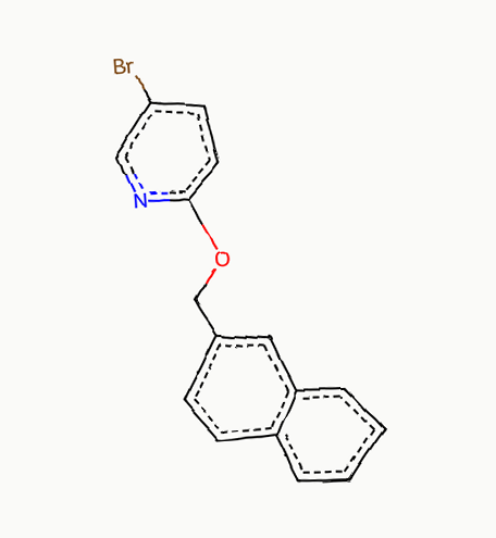 Brc1ccc(OCc2ccc3ccccc3c2)nc1